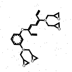 C=C/C(=C\C=C(/C=C)N(CC1CO1)CC1CO1)Oc1cccc(N(CC2CO2)CC2CO2)c1